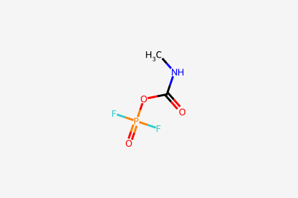 CNC(=O)OP(=O)(F)F